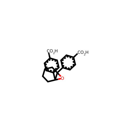 O=C(O)c1ccc(C23CCCCC2(c2ccc(C(=O)O)cc2)O3)cc1